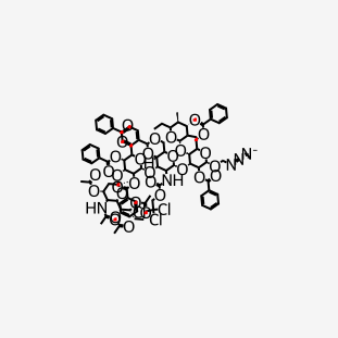 CCC1O[C@@H](O[C@H]2C(COC(=O)c3ccccc3)O[C@@H](OCN=[N+]=[N-])C(OC(=O)c3ccccc3)[C@H]2O[C@@H]2OC3COC(c4ccccc4)O[C@H]3[C@H](O[C@@H]3OC(COC(=O)c4ccccc4)[C@H](OC(=O)c4ccccc4)[C@H](O[C@]4(C)C[C@@H](OC(C)=O)C(NC(C)=O)C([C@H](OC(C)=O)[C@@H](CC)OC(C)=O)O4)C3OC(=O)c3ccccc3)C2NC(=O)OCC(Cl)(Cl)Cl)C(C)[C@@H](C)[C@@H]1C